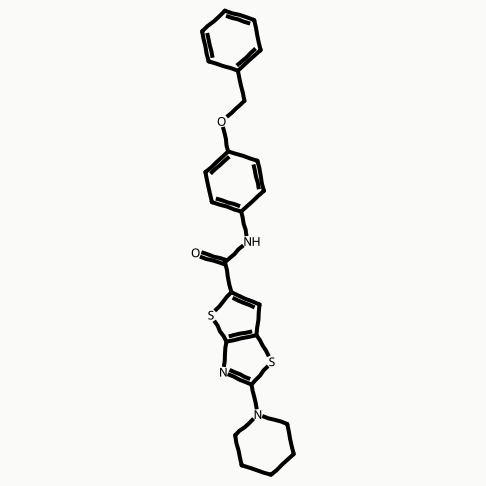 O=C(Nc1ccc(OCc2ccccc2)cc1)c1cc2sc(N3CCCCC3)nc2s1